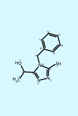 CC(O)c1nnc(S)n1Cc1ccccc1